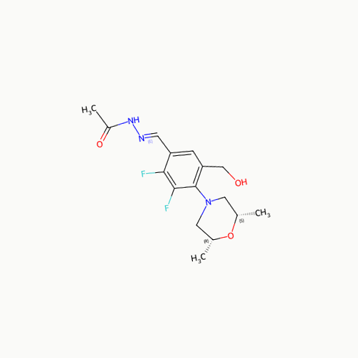 CC(=O)N/N=C/c1cc(CO)c(N2C[C@@H](C)O[C@@H](C)C2)c(F)c1F